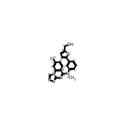 CN(c1cccc(-c2ccc(CO)o2)c1)c1nc2nncn2c2cc(Cl)ccc12